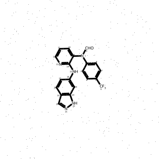 O=CN(c1ccc(C(F)(F)F)cc1)c1cccnc1Nc1ccc2cn[nH]c2c1